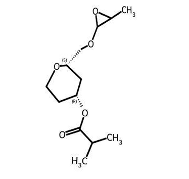 CC(C)C(=O)O[C@@H]1CCO[C@H](COC2OC2C)C1